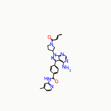 CC=CC(=O)N1CCC(n2nc(-c3ccc(C(=O)Nc4cc(C)ccn4)cc3)c3c(N)ncnc32)C1